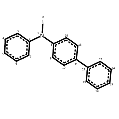 IN(c1ccccc1)c1ccc(-c2ccccc2)cc1